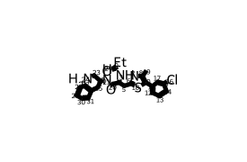 CCC(=O)NC(Cc1nc(C)c(-c2cccc(Cl)c2)s1)C(=O)NC(CN)Cc1ccccc1